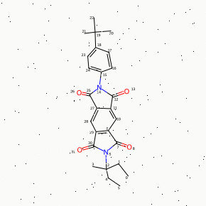 CCC(C)(CC)n1c(=O)c2cc3c(=O)n(-c4ccc(C(C)(C)C)cc4)c(=O)c3cc2c1=O